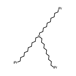 CC(C)CCCCCCCCCCN(CCCCCCCCCCC(C)C)CCCCCCCCCCC(C)C